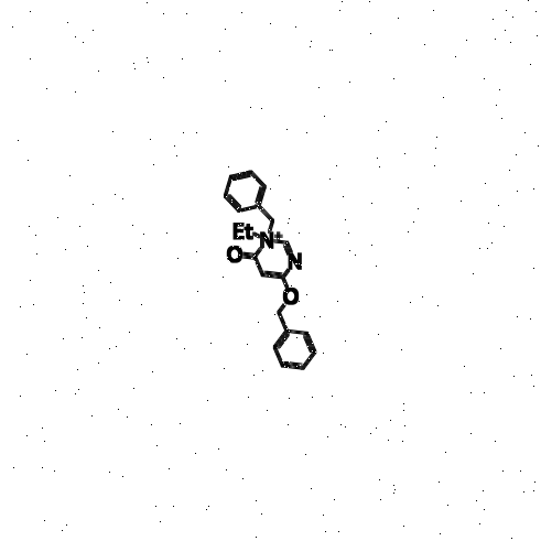 CC[N+]1(Cc2ccccc2)C=NC(OCc2ccccc2)=CC1=O